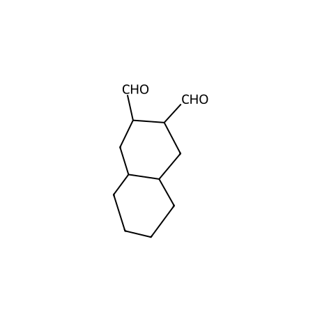 O=CC1CC2CCCCC2CC1C=O